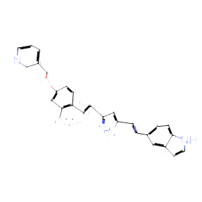 COc1cc(OCC2=CC=CNC2)ccc1/C=C/c1cc(/C=C/c2ccc3[nH]ccc3c2)[nH]n1